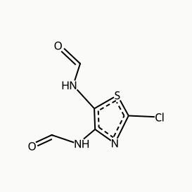 O=CNc1nc(Cl)sc1NC=O